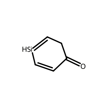 O=C1C=C[SiH]=CC1